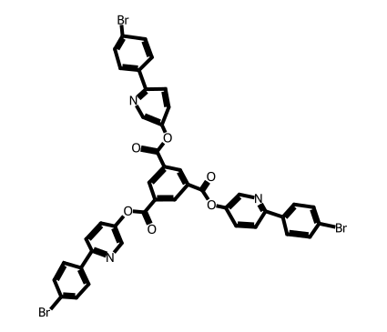 O=C(Oc1ccc(-c2ccc(Br)cc2)nc1)c1cc(C(=O)Oc2ccc(-c3ccc(Br)cc3)nc2)cc(C(=O)Oc2ccc(-c3ccc(Br)cc3)nc2)c1